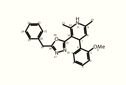 COc1ccccc1C1C=C(C)NC(C)=C1c1nnc(Cc2ccccc2)o1